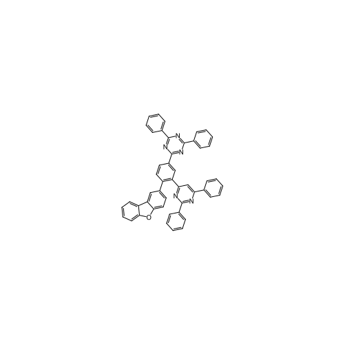 c1ccc(-c2cc(-c3cc(-c4nc(-c5ccccc5)nc(-c5ccccc5)n4)ccc3-c3ccc4oc5ccccc5c4c3)nc(-c3ccccc3)n2)cc1